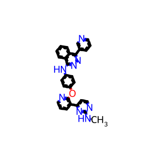 CNc1nccc(-c2cccnc2Oc2ccc(Nc3nnc(-c4cccnc4)c4ccccc34)cc2)n1